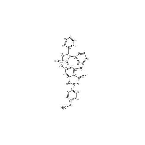 COc1ccc(-c2cc(=O)c3c(O)cc(OP(=O)(OCc4ccccc4)OCc4ccccc4)cc3o2)cc1